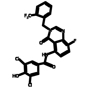 O=C(Nc1ccc(F)c2ncn(Cc3ccccc3C(F)(F)F)c(=O)c12)c1cc(Cl)c(O)c(Cl)c1